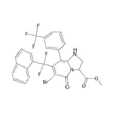 COC(=O)C1CNc2c(-c3cccc(C(F)(F)F)c3)c(C(F)(F)c3cccc4ccccc34)c(Br)c(=O)n21